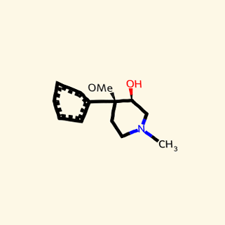 CO[C@]1(c2ccccc2)CCN(C)C[C@@H]1O